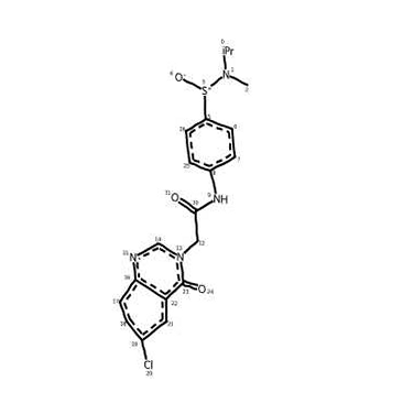 CC(C)N(C)[S+]([O-])c1ccc(NC(=O)Cn2cnc3ccc(Cl)cc3c2=O)cc1